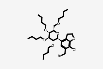 CCCCOC[C@H]1O[C@@H](c2cc(CBr)c(Cl)c3c2CCO3)[C@H](OCCCC)[C@@H](OCCCC)[C@@H]1OCCCC